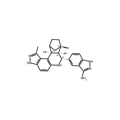 Cc1n[nH]c2ccc3c(c12)[C@H]1C2CC[C@@H](C2)[C@H]1[C@H](c1ccc2[nH]nc(N)c2c1)N3